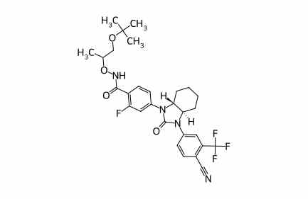 CC(COC(C)(C)C)ONC(=O)c1ccc(N2C(=O)N(c3ccc(C#N)c(C(F)(F)F)c3)[C@@H]3CCCC[C@H]32)cc1F